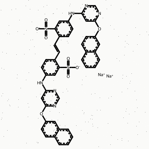 O=S(=O)([O-])c1cc(Nc2cc(Oc3ccc4ccccc4c3)ncn2)ccc1C=Cc1ccc(Nc2cc(Oc3ccc4ccccc4c3)ncn2)cc1S(=O)(=O)[O-].[Na+].[Na+]